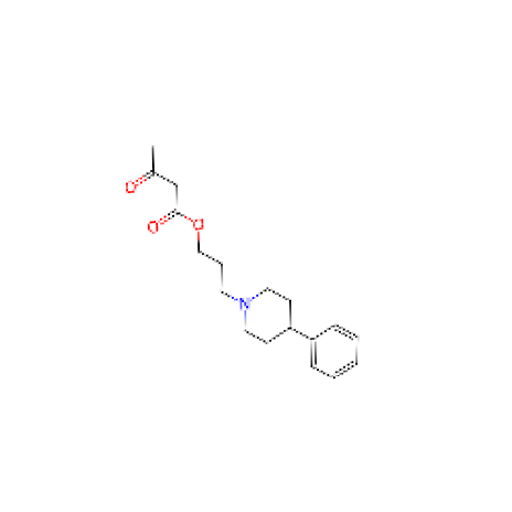 CC(=O)CC(=O)OCCCN1CCC(c2ccccc2)CC1